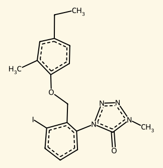 CCc1ccc(OCc2c(I)cccc2-n2nnn(C)c2=O)c(C)c1